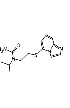 CC(C)N(CCSc1cccc2nccn12)C(N)=O